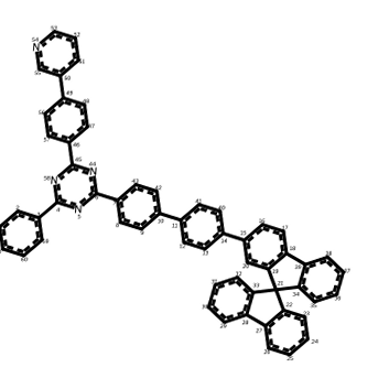 c1ccc(-c2nc(-c3ccc(-c4ccc(-c5ccc6c(c5)C5(c7ccccc7-c7ccccc75)c5ccccc5-6)cc4)cc3)nc(-c3ccc(-c4cccnc4)cc3)n2)cc1